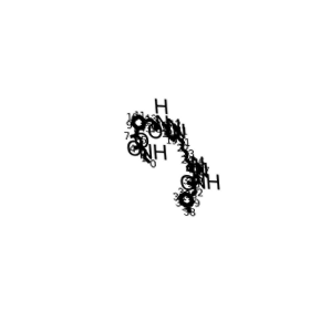 CCNC(=O)OC(C)c1cccc(CC(=O)Nc2ccc(CCCCc3nnc(NC(=O)Cc4cccc(C)c4)s3)nn2)c1